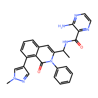 CC(NC(=O)c1nccnc1N)c1cc2cccc(-c3cnn(C)c3)c2c(=O)n1-c1ccccc1